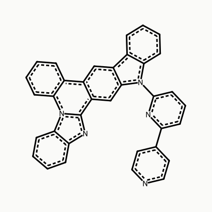 c1cc(-c2ccncc2)nc(-n2c3ccccc3c3cc4c5ccccc5n5c6ccccc6nc5c4cc32)c1